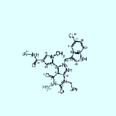 CC(C)Cn1c(=O)n(C)c(=O)c2c(-c3cc(C(=O)NC(C)C)cn3C)n(Cc3c[nH]c4ccc(Cl)cc34)nc21